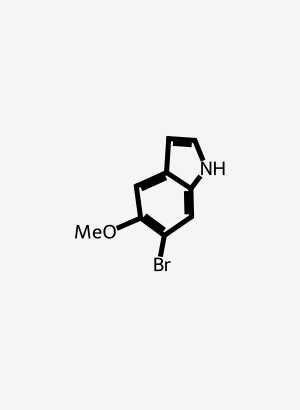 COc1cc2cc[nH]c2cc1Br